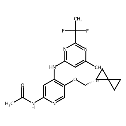 CC(=O)Nc1cc(Nc2cc(C)nc(C(C)(F)F)n2)c(OC[C@@H]2CC23CC3)cn1